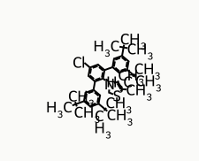 CC1=C(C)N(c2c(-c3cc(C(C)(C)C)cc(C(C)(C)C)c3)cc(Cl)cc2-c2cc(C(C)(C)C)cc(C(C)(C)C)c2)CS1